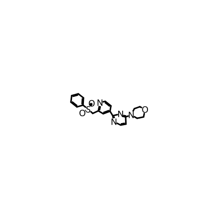 O=S(=O)(Cc1cc(-c2nccc(N3CCOCC3)n2)ccn1)c1ccccc1